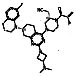 C=C(F)C(=O)N1CCN(c2nc(N3CC(N(C)C)C3)nc3c2CC[C@@H](N2CCCc4ccc(F)cc42)C3)C[C@@H]1CC#N